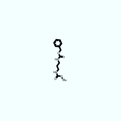 CC(C)(C)OC(=O)NCCCNC(=O)OCc1ccccc1